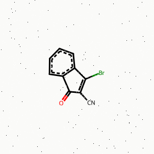 N#CC1=C(Br)c2ccccc2C1=O